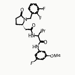 COc1cc(F)cc(NC(=O)C(NC(=O)C[C@@H]2CCC(=O)N2Cc2cccc(F)c2F)C(C)C)c1